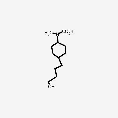 CN(C(=O)O)C1CCC(CCCCO)CC1